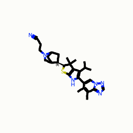 Cc1c(-c2[nH]c3c(c2C(C)C)C(C)(C)C([C@@H]2CC4CC2CN4CCC#N)S3)cn2ncnc2c1C